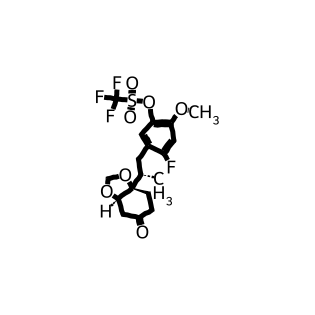 COc1cc(F)c(C[C@H](C)[C@]23CCC(=O)C[C@H]2OCO3)cc1OS(=O)(=O)C(F)(F)F